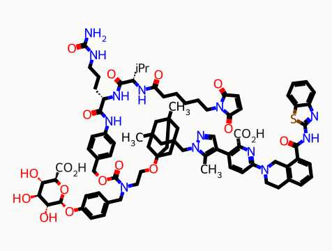 Cc1c(-c2ccc(N3CCc4cccc(C(=O)Nc5nc6ccccc6s5)c4C3)nc2C(=O)O)cnn1CC12CC3(C)CC(C)(C1)CC(OCCN(Cc1ccc(O[C@@H]4O[C@H](C(=O)O)[C@@H](O)[C@H](O)[C@H]4O)cc1)C(=O)OCc1ccc(NC(=O)[C@H](CCCNC(N)=O)NC(=O)[C@@H](NC(=O)CCCCCN4C(=O)C=CC4=O)C(C)C)cc1)(C3)C2